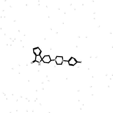 O=C1NC2(CCC(N3CCN(c4ccc(F)cc4)CC3)CC2)c2ccccc21